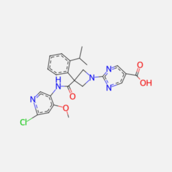 COc1cc(Cl)ncc1NC(=O)C1(c2ccccc2C(C)C)CN(c2ncc(C(=O)O)cn2)C1